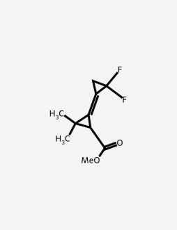 COC(=O)C1C(=C2CC2(F)F)C1(C)C